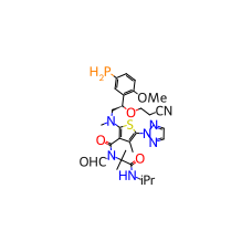 COc1ccc(P)cc1[C@H](CN(C)c1sc(-n2nccn2)c(C)c1C(=O)N(C=O)C(C)(C)C(=O)NC(C)C)OCCC#N